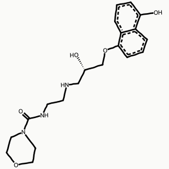 O=C(NCCNC[C@H](O)COc1cccc2c(O)cccc12)N1CCOCC1